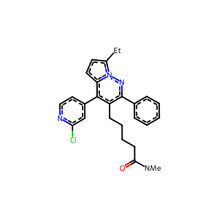 CCc1ccc2c(-c3ccnc(Cl)c3)c(CCCCC(=O)NC)c(-c3ccccc3)nn12